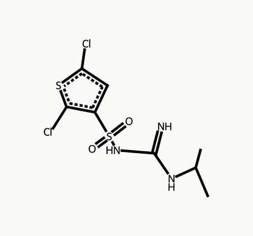 CC(C)NC(=N)NS(=O)(=O)c1cc(Cl)sc1Cl